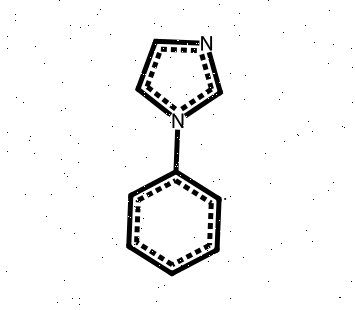 [c]1ccccc1-n1ccnc1